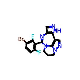 Fc1ccc(Br)c(F)c1C1=Nc2cn[nH]c2-c2cnn3c2N1CCC3